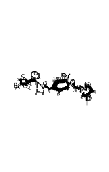 O=C(NCCc1ccc(OCCN2CCC(F)C2)c(Br)c1)c1cc(Br)cs1